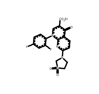 CCOC(=O)c1cn(-c2ccc(F)cc2F)c2nc(N3CCS(=O)(=O)C3)ccc2c1=O